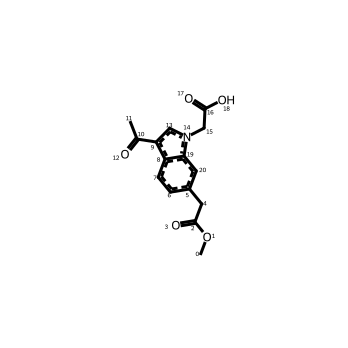 COC(=O)Cc1ccc2c(C(C)=O)cn(CC(=O)O)c2c1